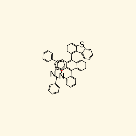 c1ccc(-c2ccc3c(-c4ccccc4-n4c(-c5ccccc5)nc5ccccc54)c4ccccc4c(-c4cccc5sc6ccccc6c45)c3c2)cc1